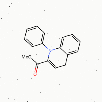 COC(=O)C1=CCc2ccccc2N1c1ccccc1